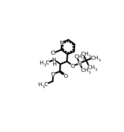 CCOC(=O)C(NC)C(O[Si](C)(C)C(C)(C)C)c1cccnc1Cl